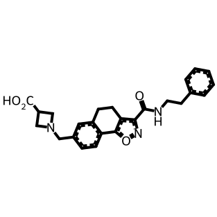 O=C(NCCc1ccccc1)c1noc2c1CCc1cc(CN3CC(C(=O)O)C3)ccc1-2